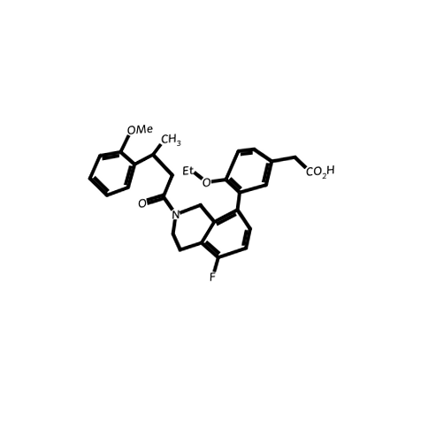 CCOc1ccc(CC(=O)O)cc1-c1ccc(F)c2c1CN(C(=O)CC(C)c1ccccc1OC)CC2